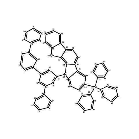 c1ccc(-c2cccc(-c3cc(-c4ccccc4)nc(-n4c5ccc([Si](c6ccccc6)(c6ccccc6)c6ccccc6)cc5c5ccc6c7ccccc7oc6c54)n3)c2)cc1